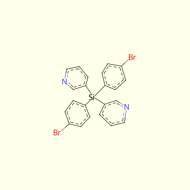 Brc1ccc([Si](c2ccc(Br)cc2)(c2cccnc2)c2cccnc2)cc1